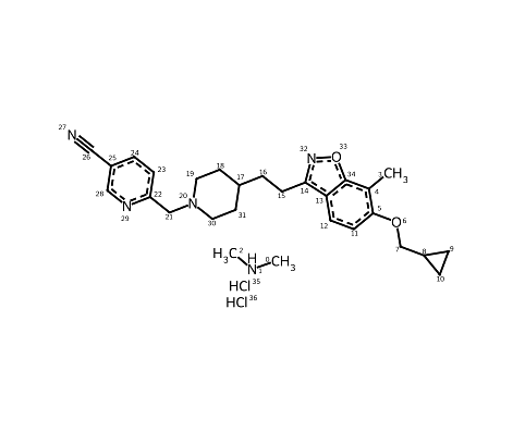 CNC.Cc1c(OCC2CC2)ccc2c(CCC3CCN(Cc4ccc(C#N)cn4)CC3)noc12.Cl.Cl